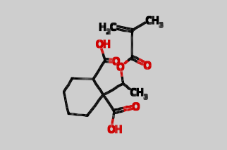 C=C(C)C(=O)OC(C)C1(C(=O)O)CCCCC1C(=O)O